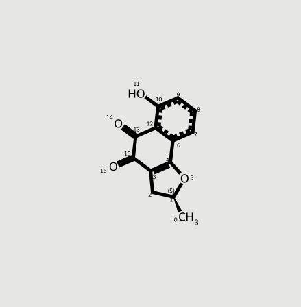 C[C@H]1CC2=C(O1)c1cccc(O)c1C(=O)C2=O